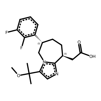 COC(C)(C)c1cnc2n1C[C@H](c1cccc(F)c1F)CC[C@H]2CC(=O)O